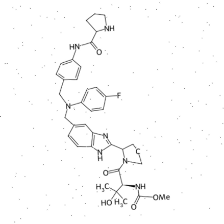 COC(=O)N[C@H](C(=O)N1CCCC1c1nc2cc(CN(Cc3ccc(NC(=O)C4CCCN4)cc3)c3ccc(F)cc3)ccc2[nH]1)C(C)(C)O